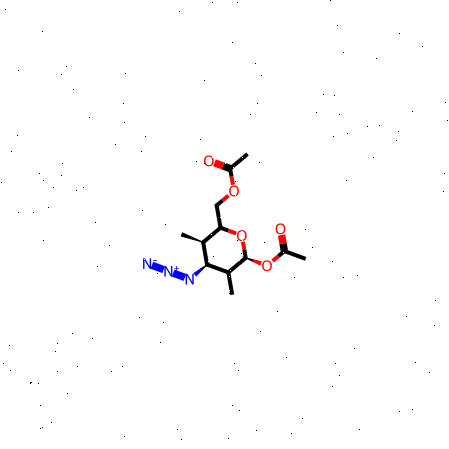 CC(=O)OCC1O[C@@H](OC(C)=O)C(C)[C@@H](N=[N+]=[N-])[C@H]1C